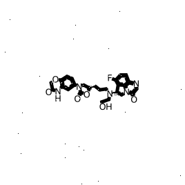 O=C1COc2ccc(N3C[C@@H](CCCN(CCO)[C@@H]4Cn5c(=O)cnc6ccc(F)c4c65)OC3=O)cc2N1